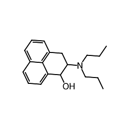 CCCN(CCC)C1Cc2cccc3cccc(c23)C1O